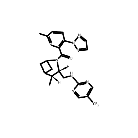 Cc1ccc(-n2nccn2)c(C(=O)N2C3CC(C3)[C@@H](C)[C@H]2CNc2ncc(C(F)(F)F)cn2)n1